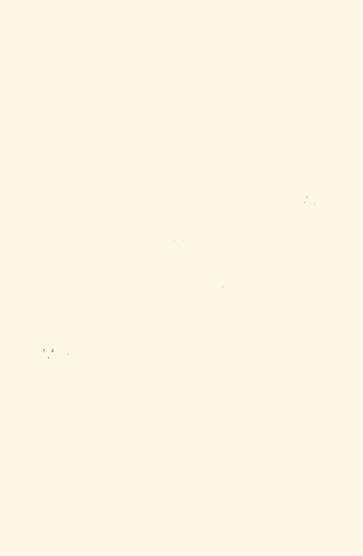 COc1ccc(OC(=O)CCC(C)=O)cc1